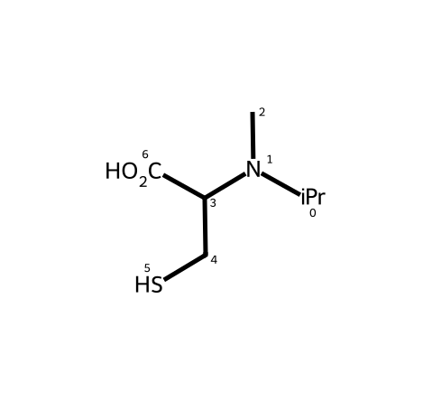 CC(C)N(C)C(CS)C(=O)O